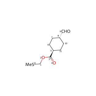 CSCOC(=O)[C@H]1CC[C@H](C=O)CC1